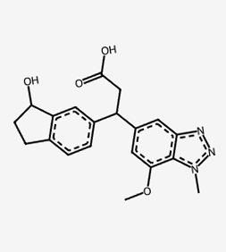 COc1cc(C(CC(=O)O)c2ccc3c(c2)C(O)CC3)cc2nnn(C)c12